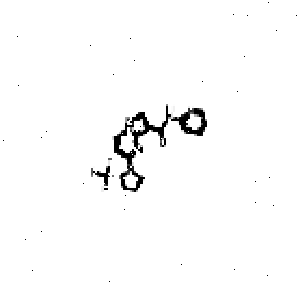 O=C(Nc1ccccn1)c1cnn2ccc(N3CCC[C@@H]3C(F)(F)F)nc12